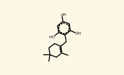 CCCc1cc(O)c(CC2=C(C)CC(C)(C)CC2)c(O)c1